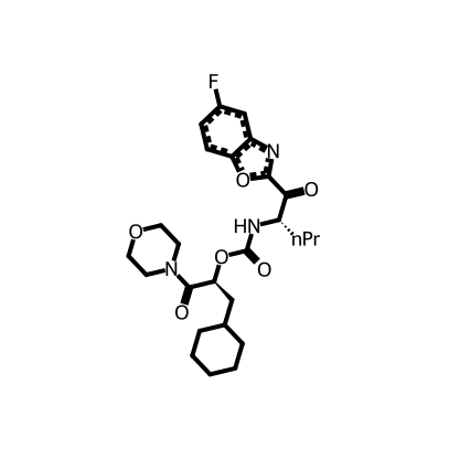 CCC[C@H](NC(=O)O[C@@H](CC1CCCCC1)C(=O)N1CCOCC1)C(=O)c1nc2cc(F)ccc2o1